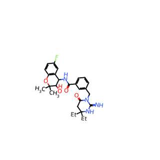 CCC1(CC)CC(=O)N(Cc2cccc(C(=O)NC3c4cc(F)ccc4OC(C)(C)C3O)c2)C(=N)N1